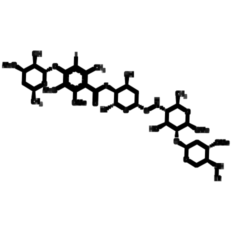 CCN[C@H]1CO[C@@H](O[C@H]2[C@H](OC)O[C@H](C)[C@@H](NO[C@H]3C[C@H](O)[C@H](SC(=O)c4c(C)c(I)c(O[C@@H]5O[C@@H](C)C[C@@H](OC)[C@H]5O)c(OC)c4OC)[C@@H](CC)O3)[C@@H]2O)C[C@@H]1OC